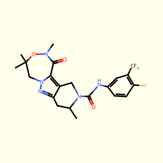 CC1Cc2nn3c(c2CN1C(=O)Nc1ccc(F)c(C(F)(F)F)c1)C(=O)N(C)OC(C)(C)C3